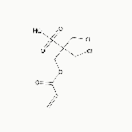 C=CC(=O)OCC(CCl)(CCl)S(=O)(=O)O